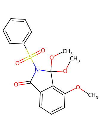 COc1cccc2c1C(OC)(OC)N(S(=O)(=O)c1ccccc1)C2=O